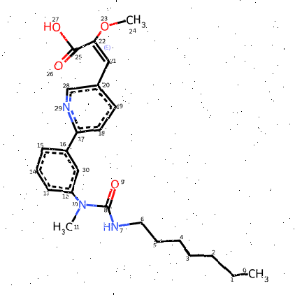 CCCCCCCNC(=O)N(C)c1cccc(-c2ccc(/C=C(/OC)C(=O)O)cn2)c1